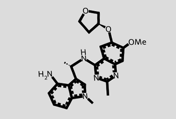 COc1cc2nc(C)nc(N[C@@H](C)c3cn(C)c4cccc(N)c34)c2cc1O[C@H]1CCOC1